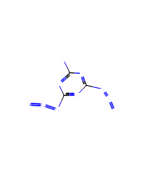 [N-]=[N+]=Nc1nc(N)nc(N=[N+]=[N-])n1